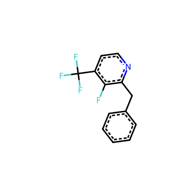 Fc1c(C(F)(F)F)ccnc1Cc1ccccc1